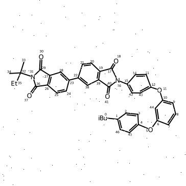 CCC(C)c1ccc(Oc2cccc(Oc3ccc(N4C(=O)c5ccc(-c6ccc7c(c6)C(=O)N(C(C)(C)CC)C7=O)cc5C4=O)cc3)c2)cc1